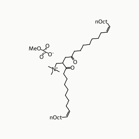 CCCCCCCC/C=C\CCCCCCCC(=O)CC(C[N+](C)(C)C)C(=O)CCCCCCC/C=C\CCCCCCCC.COS(=O)(=O)[O-]